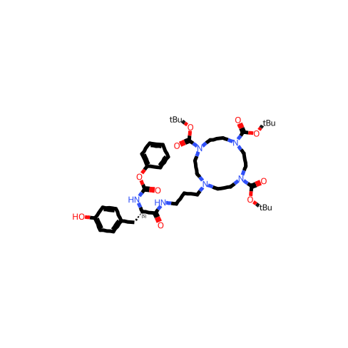 CC(C)(C)OC(=O)N1CCN(CCCNC(=O)[C@H](Cc2ccc(O)cc2)NC(=O)Oc2ccccc2)CCN(C(=O)OC(C)(C)C)CCN(C(=O)OC(C)(C)C)CC1